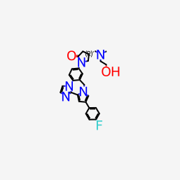 CN(CCO)C[C@H]1CC(=O)N(c2ccc3c(c2)Cn2cc(-c4ccc(F)cc4)cc2-c2nccn2-3)C1